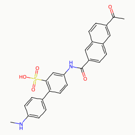 CNc1ccc(-c2ccc(NC(=O)c3ccc4cc(C(C)=O)ccc4c3)cc2S(=O)(=O)O)cc1